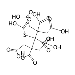 O=C(O)CC(CC(=O)O)(C(=O)O)C(SC(=O)O)(C(=O)O)C(CC(=O)O)(CC(=O)O)C(=O)O